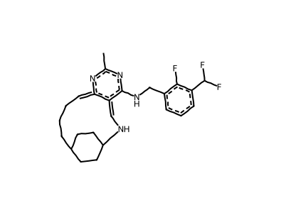 Cc1nc(NCc2cccc(C(F)F)c2F)c2/c(n1)=C\CCCC1CCC(CC1)N/C=2